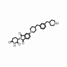 O=C1CCC(N2C(=O)c3ccc(N4CCC(Cc5cccc(CC6CCNCC6)c5)CC4)cc3C2=O)C(=O)N1